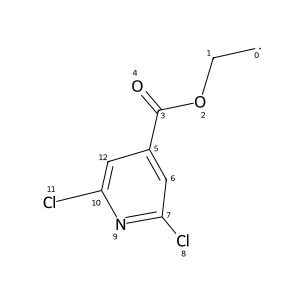 [CH2]COC(=O)c1cc(Cl)nc(Cl)c1